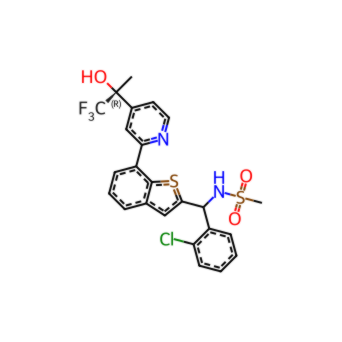 C[C@@](O)(c1ccnc(-c2cccc3cc(C(NS(C)(=O)=O)c4ccccc4Cl)sc23)c1)C(F)(F)F